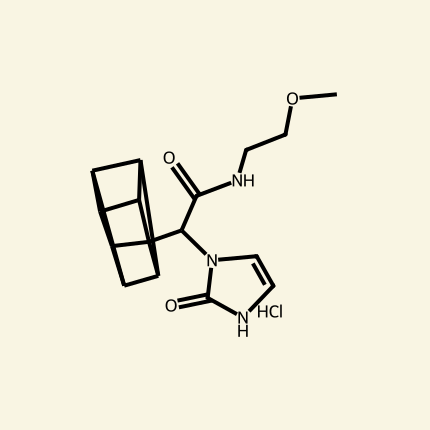 COCCNC(=O)C(n1cc[nH]c1=O)C12C3C4C5C3C1C5C42.Cl